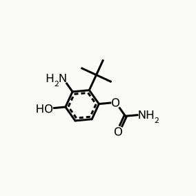 CC(C)(C)c1c(OC(N)=O)ccc(O)c1N